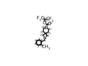 Cc1ccccc1CN1CC2(CCN(C(=O)OC(C(F)(F)F)C(F)(F)F)CC2)C1